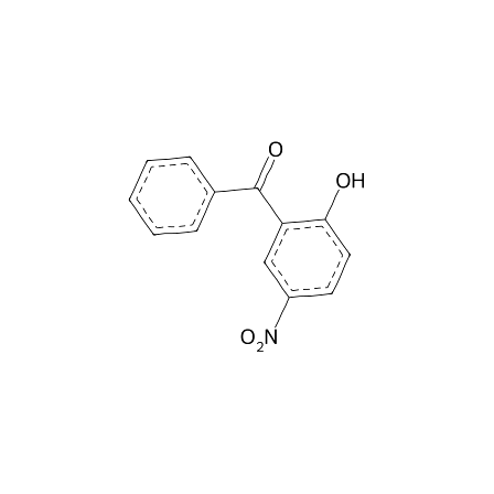 O=C(c1ccccc1)c1cc([N+](=O)[O-])ccc1O